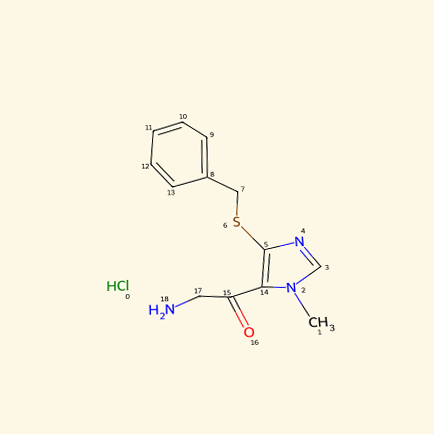 Cl.Cn1cnc(SCc2ccccc2)c1C(=O)CN